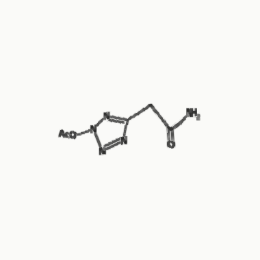 CC(=O)On1nnc(CC(N)=O)n1